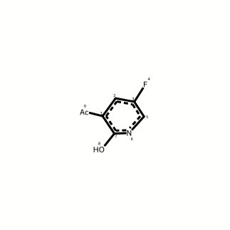 CC(=O)c1cc(F)cnc1O